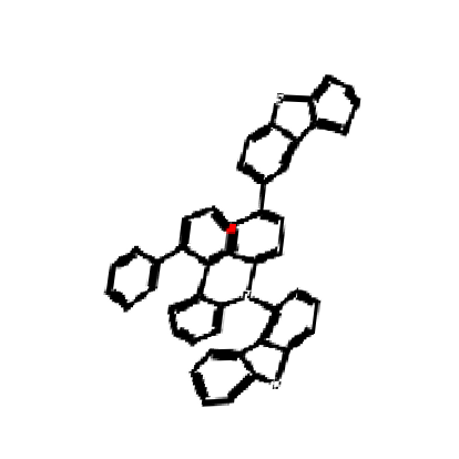 c1ccc(-c2ccccc2-c2ccccc2N(c2ccc(-c3ccc4sc5ccccc5c4c3)cc2)c2cccc3oc4ccccc4c23)cc1